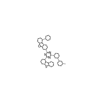 Cc1cccc(-c2cccc(-c3nc(-c4ccc5c(c4)oc4cccc(-c6ccccc6)c45)nc(-c4cccc5sc6ccccc6c45)n3)c2)c1